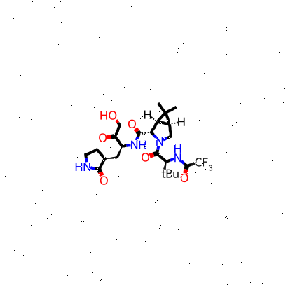 CC(C)(C)[C@H](NC(=O)C(F)(F)F)C(=O)N1C[C@H]2[C@@H]([C@H]1C(=O)N[C@@H](C[C@@H]1CCNC1=O)C(=O)CO)C2(C)C